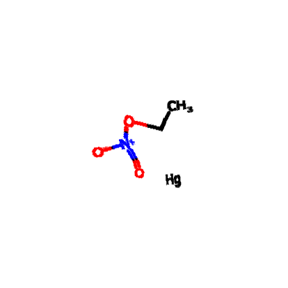 CCO[N+](=O)[O-].[Hg]